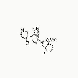 COc1cccc(F)c1CNc1ccc(-c2cnccc2Cl)c2nncn12